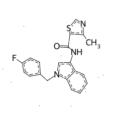 Cc1ncsc1C(=O)Nc1cn(Cc2ccc(F)cc2)c2ccccc12